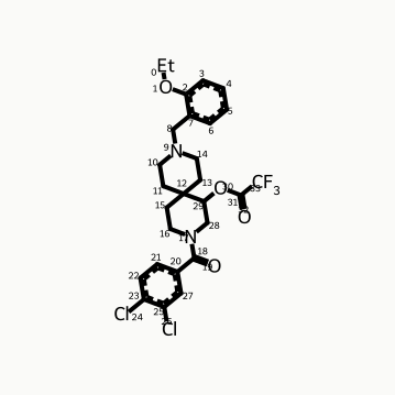 CCOc1ccccc1CN1CCC2(CC1)CCN(C(=O)c1ccc(Cl)c(Cl)c1)CC2OC(=O)C(F)(F)F